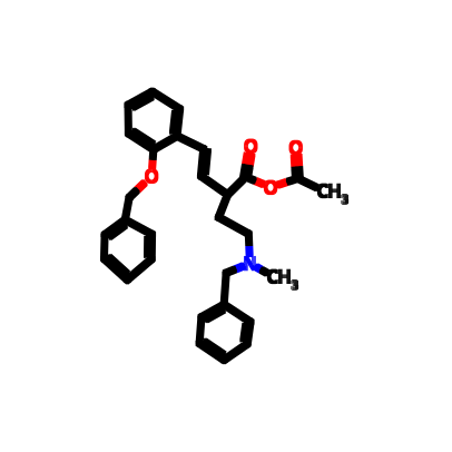 CC(=O)OC(=O)C(C=Cc1ccccc1OCc1ccccc1)CCN(C)Cc1ccccc1